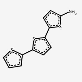 Nc1ccc(-c2ccc(-c3cccs3)s2)s1